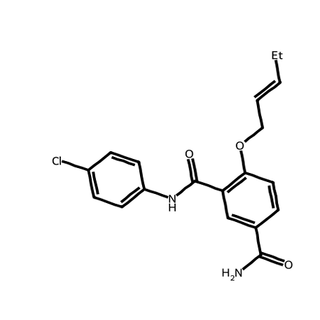 CCC=CCOc1ccc(C(N)=O)cc1C(=O)Nc1ccc(Cl)cc1